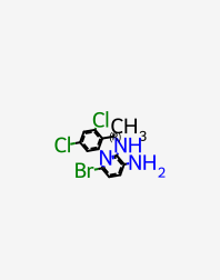 C[C@@H](Nc1nc(Br)ccc1N)c1ccc(Cl)cc1Cl